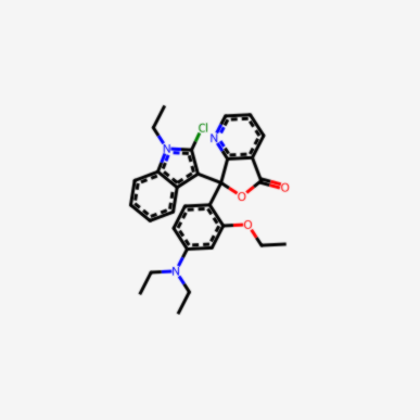 CCOc1cc(N(CC)CC)ccc1C1(c2c(Cl)n(CC)c3ccccc23)OC(=O)c2cccnc21